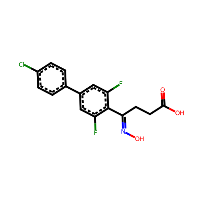 O=C(O)CC/C(=N\O)c1c(F)cc(-c2ccc(Cl)cc2)cc1F